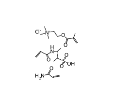 C=C(C)C(=O)OCC[N+](C)(C)C.C=CC(=O)NC(C)C(C)S(=O)(=O)O.C=CC(N)=O.[Cl-]